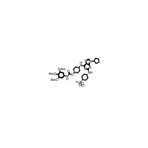 COc1cc(NC(=O)ON2CCC(Nc3nc(N[C@H]4CC[C@H](N)CC4)nc4c3ncn4C3CCCC3)CC2)cc(OC)c1OC.Cl.Cl